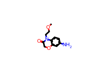 COCCN1C(=O)COc2cc(N)ccc21